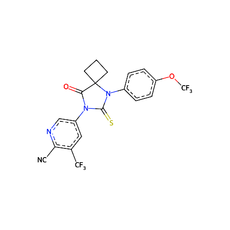 N#Cc1ncc(N2C(=O)C3(CCC3)N(c3ccc(OC(F)(F)F)cc3)C2=S)cc1C(F)(F)F